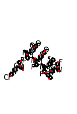 COc1ccc(N2CCN(C(=O)c3cc(C)nn3-c3cccc(F)c3)CC2)c(OC)c1.COc1ccc(N2CCN(C(=O)c3cc(C)nn3-c3cccc(F)c3)CC2)cc1.CSc1ccccc1N1CCN(C(=O)c2cc(C)nn2-c2cccc(F)c2)CC1.Cc1cc(C(=O)N2CCN(c3ccc(Cl)cc3)CC2)n(-c2cccc(F)c2)n1.Cc1cc(C(=O)N2CCN(c3cccc4ccccc34)CC2)n(-c2cccc(F)c2)n1